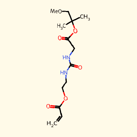 C=CC(=O)OCCNC(=O)NCC(=O)OC(C)(C)COC